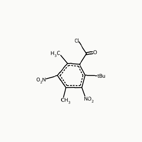 Cc1c(C(=O)Cl)c(C(C)(C)C)c([N+](=O)[O-])c(C)c1[N+](=O)[O-]